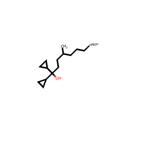 CCCCCCCCCCCCC(C)CCC(O)(C1CC1)C1CC1